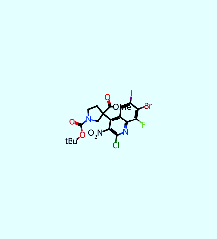 COC(=O)C1(c2c([N+](=O)[O-])c(Cl)nc3c(F)c(Br)c(I)cc23)CCN(C(=O)OC(C)(C)C)C1